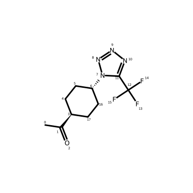 CC(=O)[C@H]1CC[C@H](n2nnnc2C(F)(F)F)CC1